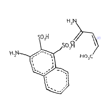 NC(=O)/C=C\C(=O)O.Nc1cc2ccccc2c(S(=O)(=O)O)c1S(=O)(=O)O